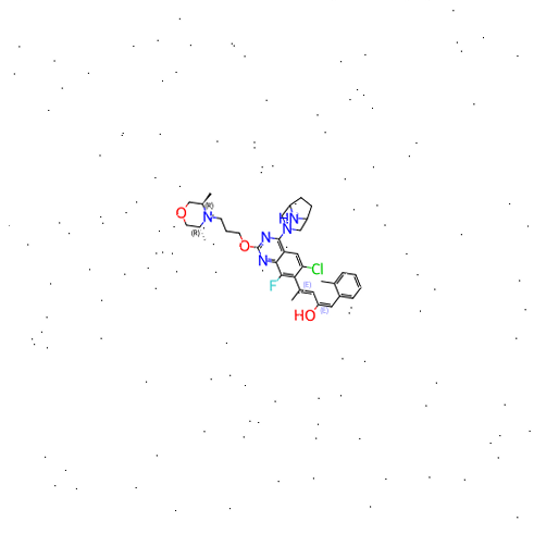 C/C(=C\C(O)=C/c1ccccc1C)c1c(Cl)cc2c(N3CC4CCC(C3)N4)nc(OCCCN3[C@H](C)COC[C@H]3C)nc2c1F